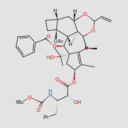 C=CC1O[C@H]2C[C@H]3CC[C@@]3(OC(C)=O)[C@H]3[C@H](OC(=O)c4ccccc4)[C@]4(C(C)(C)O)C[C@H](OC(=O)[C@H](O)[C@H](CC(C)C)NC(=O)OC(C)(C)C)C(C)=C4[C@H](C)[C@H](O1)[C@]23C